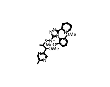 COc1cccc(OC)c1-n1c(NSC(C)C(OC)c2cnc(C)cn2)nnc1-c1ccccn1